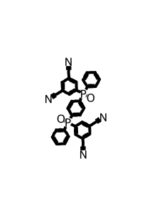 N#Cc1cc(C#N)cc(P(=O)(c2ccccc2)c2ccc(P(=O)(c3ccccc3)c3cc(C#N)cc(C#N)c3)cc2)c1